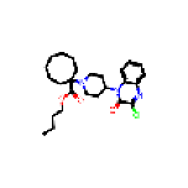 CCCCOC(=O)C1(N2CCC(n3c(=O)c(Cl)nc4ccccc43)CC2)CCCCCCC1